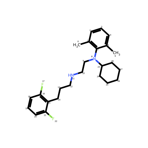 Cc1cccc(C)c1N(CCNCCCc1c(F)cccc1F)C1CCCCC1